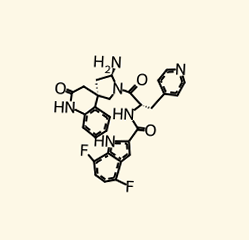 N[C@@H]1C[C@]2(CC(=O)Nc3ccccc32)CN1C(=O)[C@H](Cc1ccncc1)NC(=O)c1cc2c(F)ccc(F)c2[nH]1